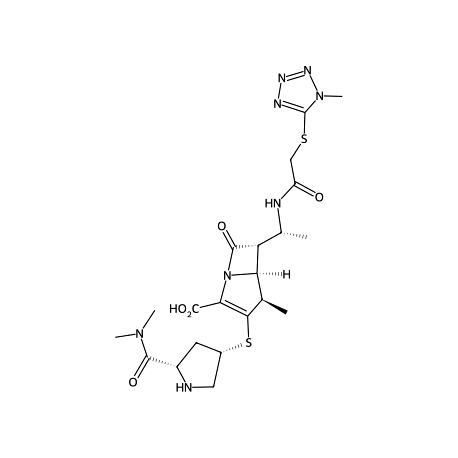 C[C@@H](NC(=O)CSc1nnnn1C)[C@H]1C(=O)N2C(C(=O)O)=C(S[C@@H]3CN[C@H](C(=O)N(C)C)C3)[C@H](C)[C@H]12